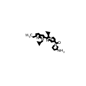 CCc1ccc2cc(-c3nc4cc(C(=O)N5CCC[C@@H](N)C5)ccn4c3C3CC3)n(CC3CC3)c2n1